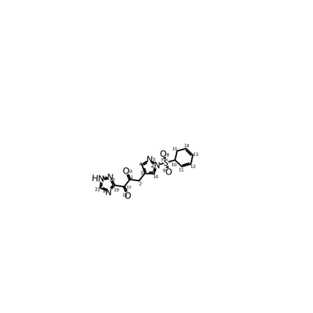 O=C(Cc1cnn(S(=O)(=O)C2C=CC=CC2)c1)C(=O)c1nc[nH]n1